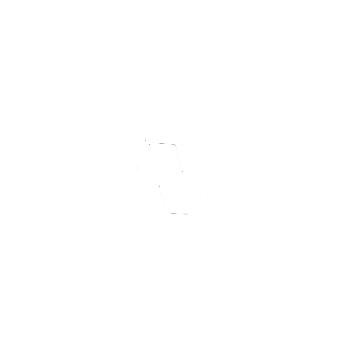 CN1Cc2ccsc2C1